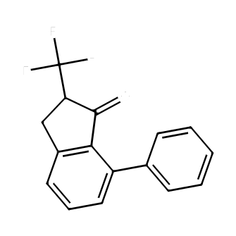 O=C1c2c(cccc2-c2ccccc2)CC1C(F)(F)F